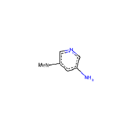 CNc1cncc(N)c1